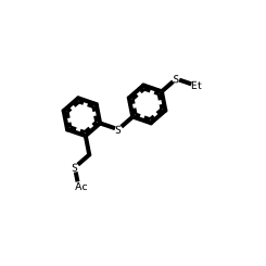 CCSc1ccc(Sc2ccccc2CSC(C)=O)cc1